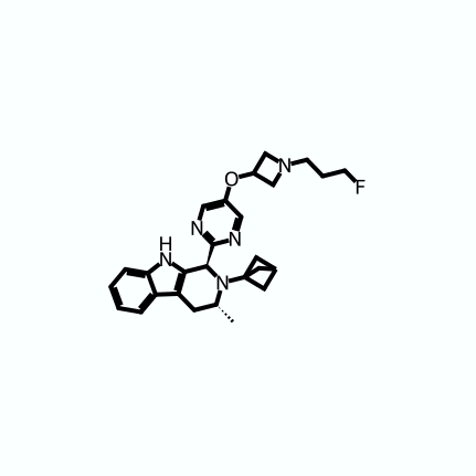 C[C@@H]1Cc2c([nH]c3ccccc23)[C@@H](c2ncc(OC3CN(CCCF)C3)cn2)N1C12CC(C1)C2